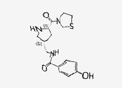 O=C(NC[C@@H]1CN[C@H](C(=O)N2CCSC2)C1)c1ccc(O)cc1